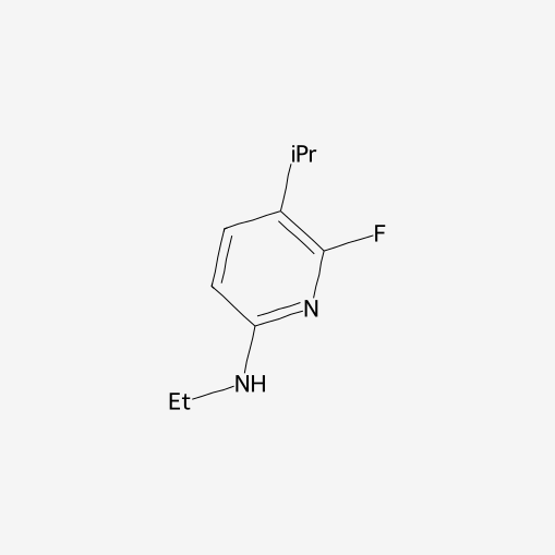 CCNc1ccc(C(C)C)c(F)n1